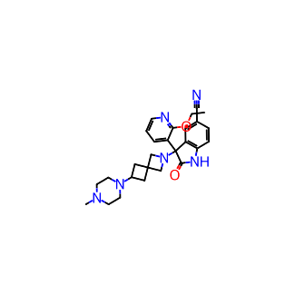 CCOc1ncccc1C1(N2CC3(CC(N4CCN(C)CC4)C3)C2)C(=O)Nc2ccc(C#N)cc21